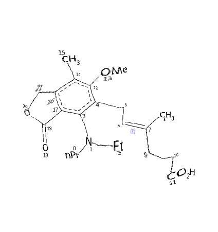 CCCN(CC)c1c(C/C=C(\C)CCC(=O)O)c(OC)c(C)c2c1C(=O)OC2